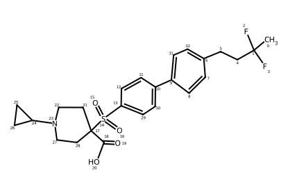 CC(F)(F)CCc1ccc(-c2ccc(S(=O)(=O)C3(C(=O)O)CCN(C4CC4)CC3)cc2)cc1